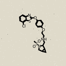 CS(=O)(=O)N1CC2CC2C1CNCCOc1ccc(Oc2nc3cccc(Cl)c3s2)cc1